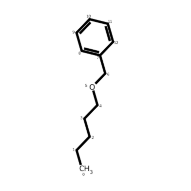 CCCCCOCc1cc[c]cc1